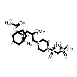 COC(CN1CCN(S(=O)(=O)CS(C)(=O)=O)CC1)CN1[C@@H]2C[CH]C[C@@]1(C(N)=O)CC2